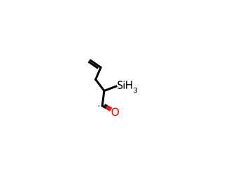 C=CCC([SiH3])[C]=O